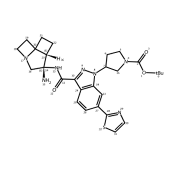 CC(C)(C)OC(=O)N1CCC(n2nc(C(=O)N[C@]3(N)CN4CCC45CC[C@@H]53)c3ccc(-c4nccs4)cc32)C1